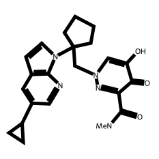 CNC(=O)c1nn(CC2(n3ccc4cc(C5CC5)cnc43)CCCC2)cc(O)c1=O